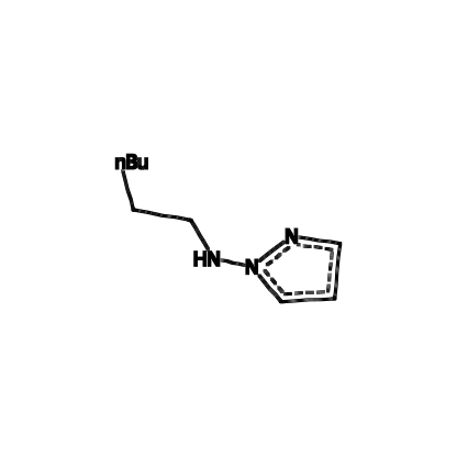 CCCCCCNn1cccn1